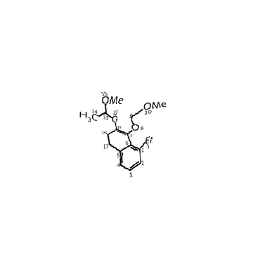 CCc1cccc2c1C(OCOC)=C(OC(C)OC)CC2